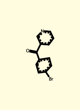 O=C(c1ccc(Br)cc1)c1cccnc1